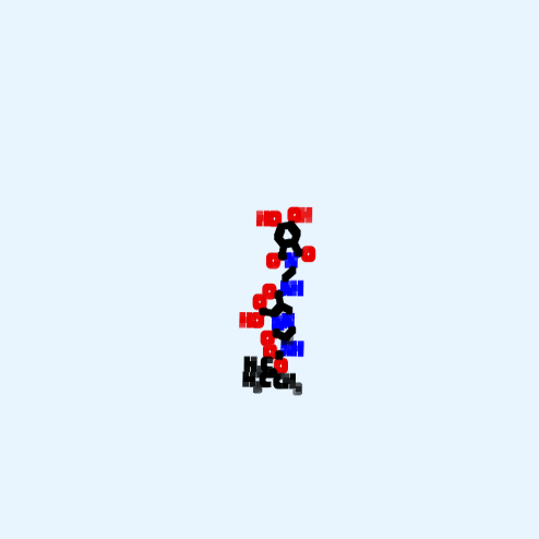 CC(C)(C)OC(=O)N[C@H]1CN2CC(C(=O)NCCN3C(=O)c4cc(O)c(O)cc4C3=O)=C(C(=O)O)N2C1=O